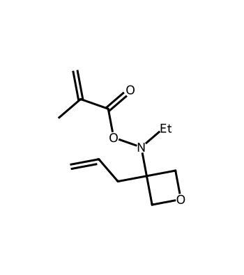 C=CCC1(N(CC)OC(=O)C(=C)C)COC1